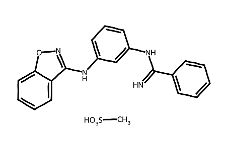 CS(=O)(=O)O.N=C(Nc1cccc(Nc2noc3ccccc23)c1)c1ccccc1